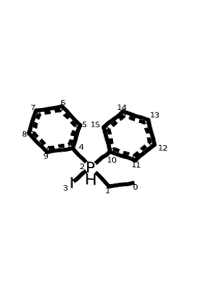 CC[PH](I)(c1ccccc1)c1ccccc1